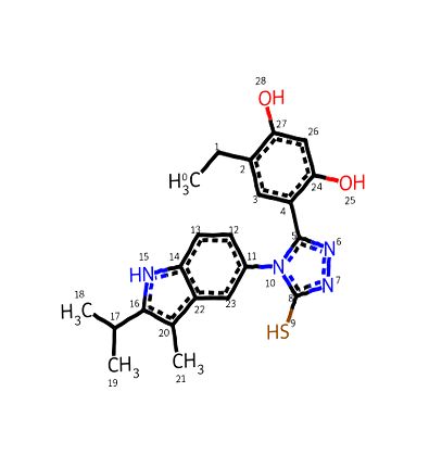 CCc1cc(-c2nnc(S)n2-c2ccc3[nH]c(C(C)C)c(C)c3c2)c(O)cc1O